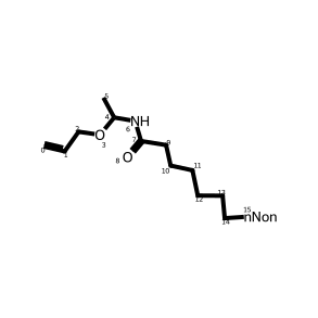 C=CCOC(C)NC(=O)CCCCCCCCCCCCCCC